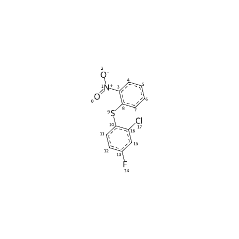 O=[N+]([O-])c1ccccc1Sc1ccc(F)cc1Cl